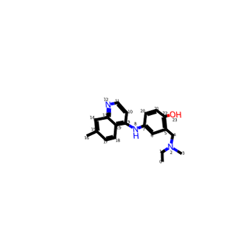 CCN(C)Cc1cc(Nc2ccnc3cc(C)ccc23)ccc1O